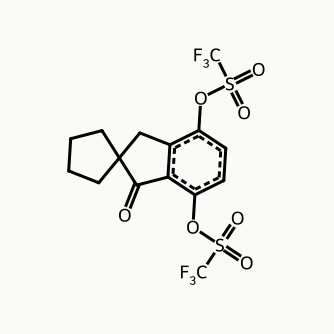 O=C1c2c(OS(=O)(=O)C(F)(F)F)ccc(OS(=O)(=O)C(F)(F)F)c2CC12CCCC2